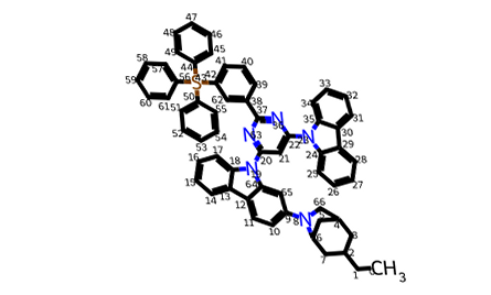 CCC1CC2CC(C1)N(c1ccc3c4ccccc4n(-c4cc(-n5c6ccccc6c6ccccc65)nc(-c5cccc(S(c6ccccc6)(c6ccccc6)c6ccccc6)c5)n4)c3c1)C2